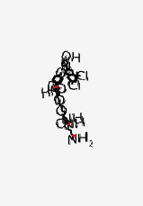 NCCCCNC(=O)NCCOCCOCCNS(=O)(=O)c1ccc(O[C@H]2c3cc(Cl)cc(Cl)c3C[C@@H]2N2CC[C@@H](O)C2)cc1